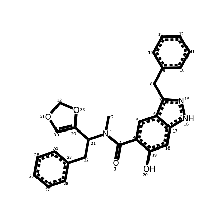 CN(C(=O)c1cc2c(Cc3ccccc3)n[nH]c2cc1O)C(Cc1ccccc1)C1=COCO1